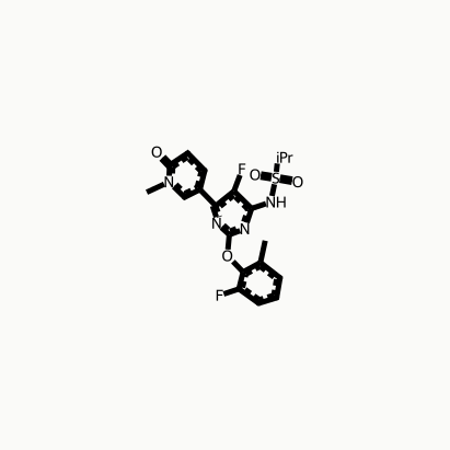 Cc1cccc(F)c1Oc1nc(NS(=O)(=O)C(C)C)c(F)c(-c2ccc(=O)n(C)c2)n1